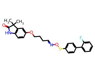 CC1(C)C(=O)Nc2ccc(OCCCC=NOSc3ccc(-c4ccccc4F)cc3)cc21